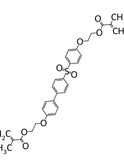 C=C(C)C(=O)OCCOc1ccc(-c2ccc(S(=O)(=O)c3ccc(OCCOC(=O)C(=C)C)cc3)cc2)cc1